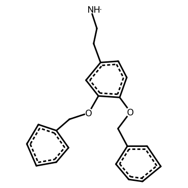 [NH]CCc1ccc(OCc2ccccc2)c(OCc2ccccc2)c1